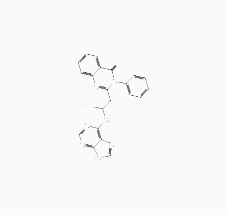 O=c1c2ccccc2nc(CC(O)Nc2ncnc3[nH]cnc23)n1-c1ccccc1